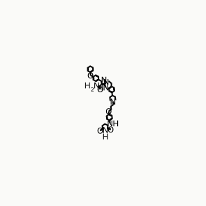 NC(=O)c1c(-c2ccc(OC3=CCCC=C3)cc2)nn2c1Nc1cc(C3CCN(CCCOc4ccc(NC5CCC(=O)NC5=O)cc4)CC3)ccc1CC2